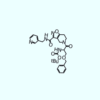 CC(C)(C)OC(=O)NC(COCc1ccccc1)C(=O)N1CCc2onc(C(=O)NCc3cccnc3)c2C1